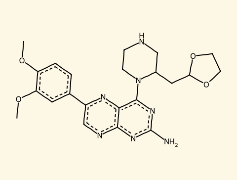 COc1ccc(-c2cnc3nc(N)nc(N4CCNCC4CC4OCCO4)c3n2)cc1OC